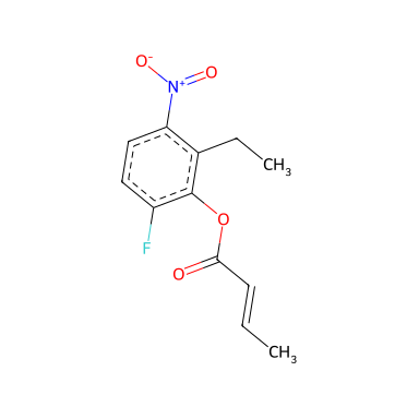 CC=CC(=O)Oc1c(F)ccc([N+](=O)[O-])c1CC